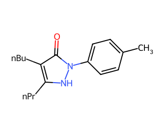 CCCCc1c(CCC)[nH]n(-c2ccc(C)cc2)c1=O